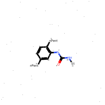 CCCCCc1ccc(CCCCC)c([N]C(=O)NCC)c1